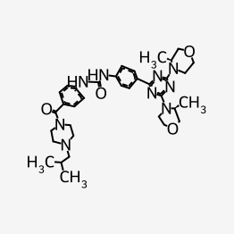 CC(C)CN1CCN(C(=O)c2ccc(NC(=O)Nc3ccc(-c4nc(N5CCOC[C@@H]5C)nc(N5CCOC[C@@H]5C)n4)cc3)cc2)CC1